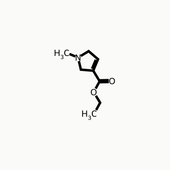 CCOC(=O)C1=CCN(C)C1